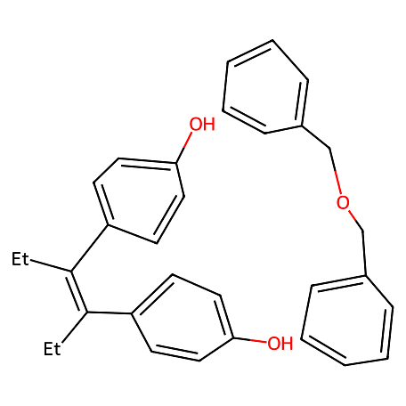 CCC(=C(CC)c1ccc(O)cc1)c1ccc(O)cc1.c1ccc(COCc2ccccc2)cc1